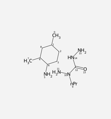 CC1CCC(N)C(C)C1.CCCN(N)C(=O)NN